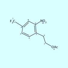 CC(=O)OCCc1ccc(C(F)(F)F)cc1[N+](=O)[O-]